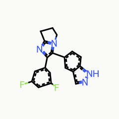 Fc1cc(F)cc(-c2nc3n(c2-c2ccc4[nH]ncc4c2)CCC3)c1